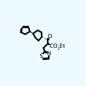 CCOC(=O)C(Cc1nccs1)C(=O)[C@H]1CC[C@H](C2C=CC=CC2)CC1